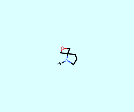 CC(C)N1CCCC12COC2